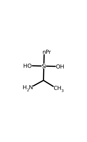 CCC[Si](O)(O)C(C)N